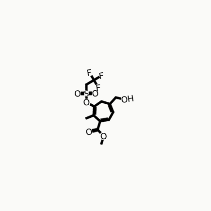 COC(=O)C1=CC=C(CO)CC(OS(=O)(=O)CC(F)(F)F)=C1C